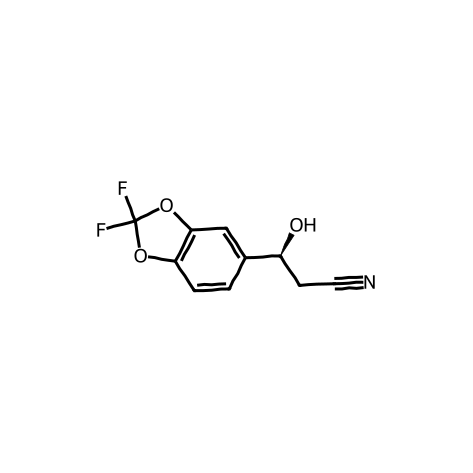 N#CC[C@H](O)c1ccc2c(c1)OC(F)(F)O2